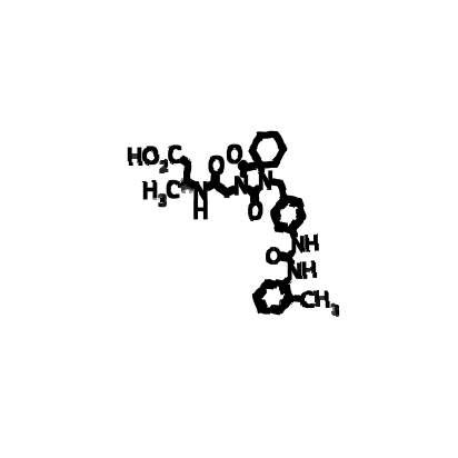 Cc1ccccc1NC(=O)Nc1ccc(CN2C(=O)N(CC(=O)N[C@H](C)CC(=O)O)C(=O)C23CCCCC3)cc1